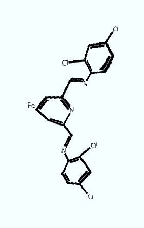 Clc1ccc(N=Cc2cccc(C=Nc3ccc(Cl)cc3Cl)n2)c(Cl)c1.[Fe]